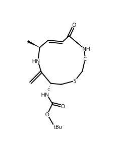 C=C1N[C@@H](C)/C=C/C(=O)NCCSC[C@@H]1NC(=O)OC(C)(C)C